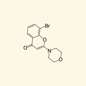 O=c1cc(N2CCOCC2)oc2c(Br)cccc12